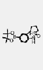 CC1(C)OB(c2ccc3c(c2)C2CCC[SH]2(=O)N3)OC1(C)C